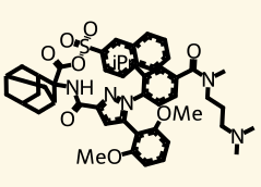 COc1cccc(OC)c1-c1cc(C(=O)NC2(C(=O)OS(=O)(=O)c3ccc4ccccc4c3)C3CC4CC(C3)CC2C4)nn1-c1ccc(C(=O)N(C)CCCN(C)C)cc1C(C)C